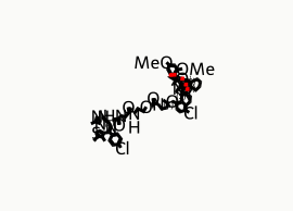 COc1ccc(COC(=O)[C@@]2(C)CCCC[C@H]2C(=O)N2CCc3c(Cl)ccc(O[C@H]4CCN(C(=O)COCCNC(=O)CNC(=O)C[C@@H]5N=C(c6ccc(Cl)cc6)c6c(sc(C)c6C)-n6c(C)nnc65)C4)c3[C@H]2CN2CC3(CC3)CC2=O)c(OC)c1